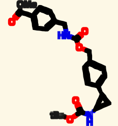 COC(=O)c1ccc(CNC(=O)OCc2ccc([C@H]3C[C@@H]3NC(=O)OC(C)(C)C)cc2)cc1